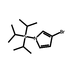 CC(C)S(C(C)C)(C(C)C)n1ccc(Br)c1